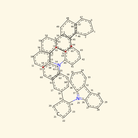 c1ccc(-c2ccc(-c3ccccc3N(c3ccc(-c4ccccc4-n4c5ccccc5c5ccccc54)cc3)c3cccc(-c4ccccc4)c3-c3ccccc3-c3ccccc3)cc2)cc1